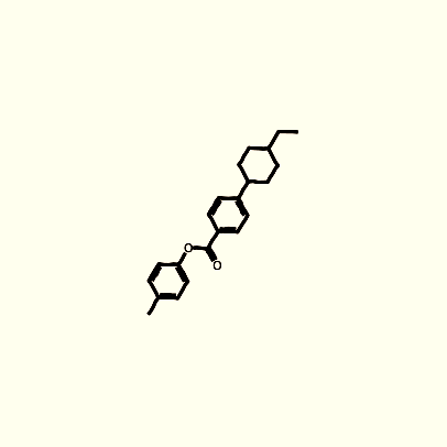 CCC1CCC(c2ccc(C(=O)Oc3ccc(C)cc3)cc2)CC1